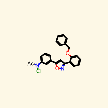 CC(=O)N(Cl)c1cccc(-c2cc(-c3ccccc3OCc3ccccc3)no2)c1